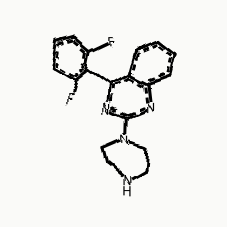 Fc1cccc(F)c1-c1nc(N2CCNCC2)nc2ccccc12